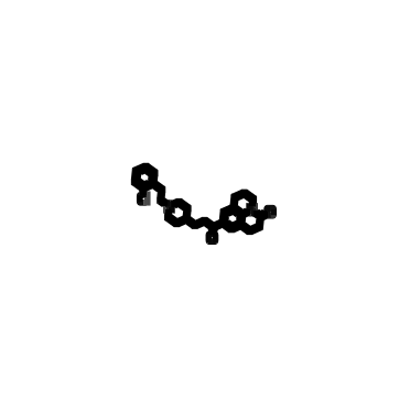 O=C(CCC1CCN(CCc2ccccc2Cl)CC1)c1cc2c3c(c1)CCC(=O)N3CCC2